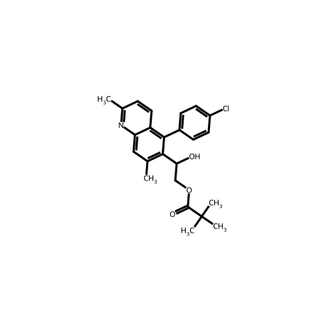 Cc1ccc2c(-c3ccc(Cl)cc3)c(C(O)COC(=O)C(C)(C)C)c(C)cc2n1